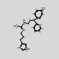 NC(=NCCCc1c[nH]cn1)NCCC(c1ccc(Cl)cc1)c1ccccn1